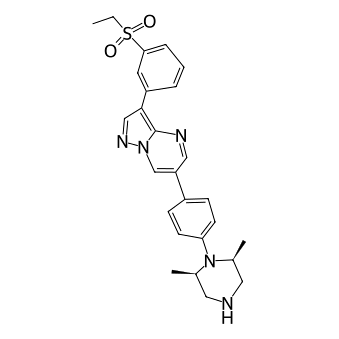 CCS(=O)(=O)c1cccc(-c2cnn3cc(-c4ccc(N5[C@H](C)CNC[C@@H]5C)cc4)cnc23)c1